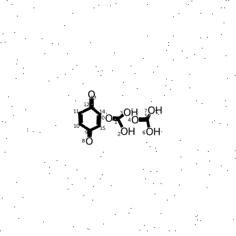 O=C(O)O.O=C(O)O.O=C1C=CC(=O)C=C1